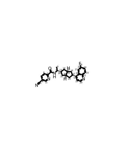 CC(NC(=O)c1ccc(C#N)cn1)[C@H]1C[C@H]2C[C@@H](c3ccnc4ccc(F)cc34)C[C@H]2C1